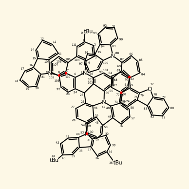 CC(C)(C)c1ccc(N2c3cc(-n4c5ccccc5c5ccccc54)ccc3C3c4ccc(-n5c6ccc(C(C)(C)C)cc6c6cc(C(C)(C)C)ccc65)cc4N(c4c(-c5ccccc5)cccc4-c4ccccc4)c4cc(-c5c(-c6cccc7c6oc6ccccc67)cccc5-n5c6ccccc6c6ccccc65)cc2c43)c(-c2ccccc2)c1